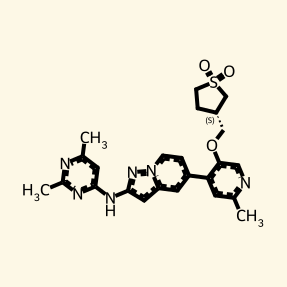 Cc1cc(-c2ccn3nc(Nc4cc(C)nc(C)n4)cc3c2)c(OC[C@@H]2CCS(=O)(=O)C2)cn1